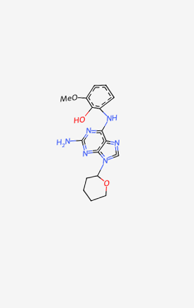 COc1cccc(Nc2nc(N)nc3c2ncn3C2CCCCO2)c1O